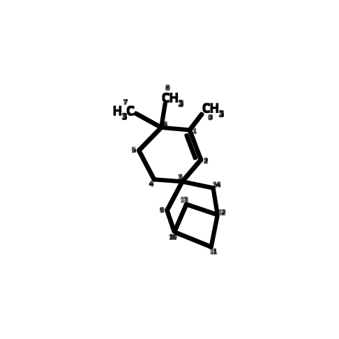 CC1=CC2(CCC1(C)C)CC1CC(C1)C2